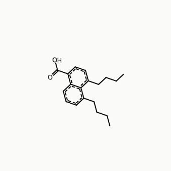 CCCCc1cccc2c(C(=O)O)ccc(CCCC)c12